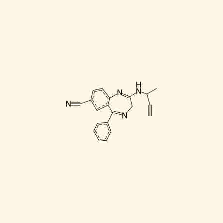 C#CC(C)NC1=Nc2ccc(C#N)cc2C(c2ccccc2)=NC1